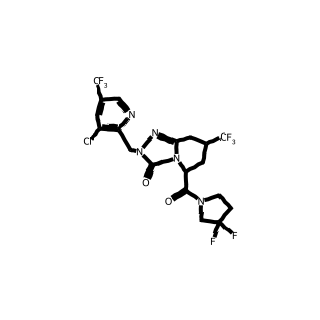 O=C(C1CC(C(F)(F)F)Cc2nn(Cc3ncc(C(F)(F)F)cc3Cl)c(=O)n21)N1CCC(F)(F)C1